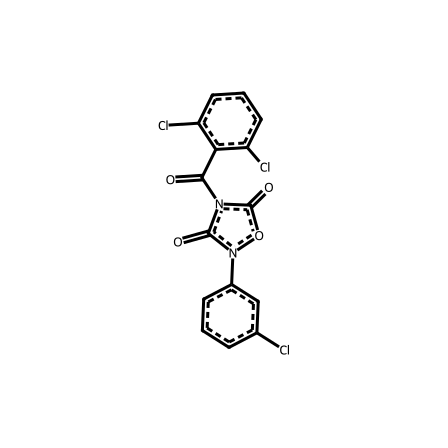 O=C(c1c(Cl)cccc1Cl)n1c(=O)on(-c2cccc(Cl)c2)c1=O